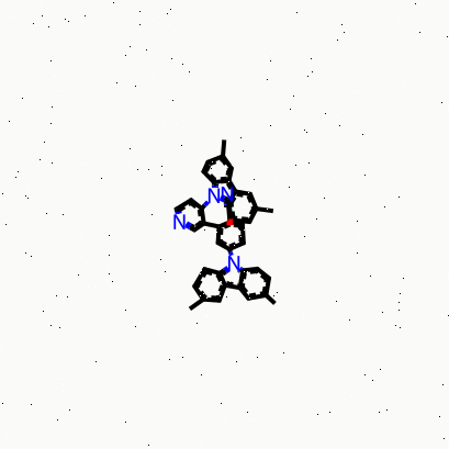 Cc1ccc2c(c1)c1cc(C)ccc1n2-c1ccc(C#N)c(-c2cnccc2-n2c3ccc(C)cc3c3cc(C)ccc32)c1